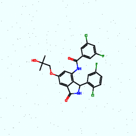 CC(C)(O)COc1cc(NC(=O)c2cc(F)cc(Cl)c2)c2c(c1)C(=O)NC2c1cc(F)ccc1Cl